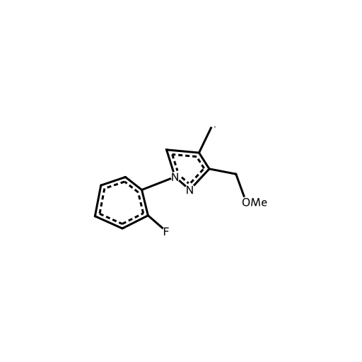 [CH2]c1cn(-c2ccccc2F)nc1COC